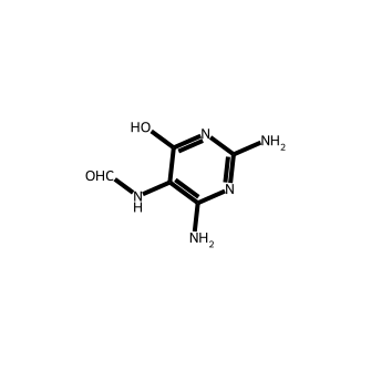 Nc1nc(N)c(NC=O)c(O)n1